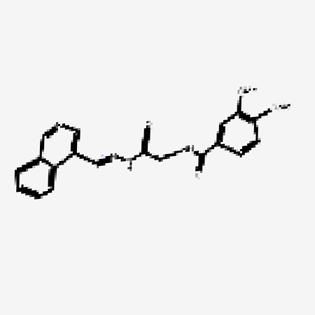 COc1ccc(C(=O)NCC(=O)N/N=C/c2cncc3ccccc23)cc1OC